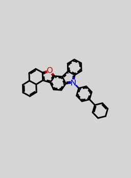 C1=CC2C=Cc3oc4c(ccc5c4c4ccccc4n5-c4ccc(C5=CCCC=C5)cc4)c3C2C=C1